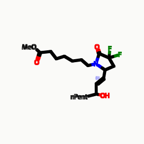 CCCCCC(O)/C=C/C1CC(F)(F)C(=O)N1CCCCCCC(=O)OC